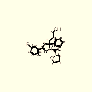 O=C(N1CCCO1)N1N=C(c2cc(F)ccc2F)SC1(CCCO)c1ccccc1